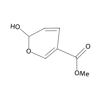 COC(=O)C1=COC(O)C=C1